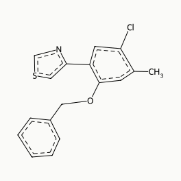 Cc1cc(OCc2ccccc2)c(-c2cscn2)cc1Cl